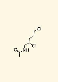 CC(=O)NCC(Cl)CCCCl